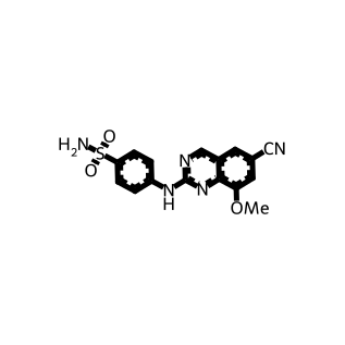 COc1cc(C#N)cc2cnc(Nc3ccc(S(N)(=O)=O)cc3)nc12